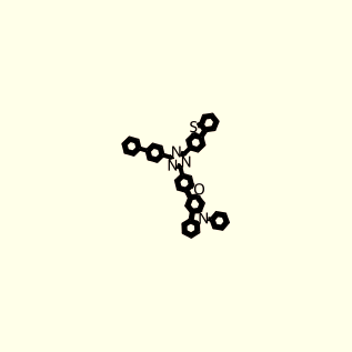 c1ccc(-c2ccc(-c3nc(-c4ccc5c(c4)oc4cc6c(cc45)c4ccccc4n6-c4ccccc4)nc(-c4ccc5c(c4)sc4ccccc45)n3)cc2)cc1